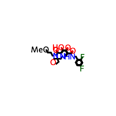 COCCCN1C(=O)c2c(O)c(=O)c(C(=O)NCc3ccc(F)cc3F)cn2CC12CCOC2